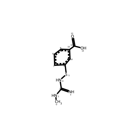 CNC(=N)NSc1cccc(C(=O)O)c1